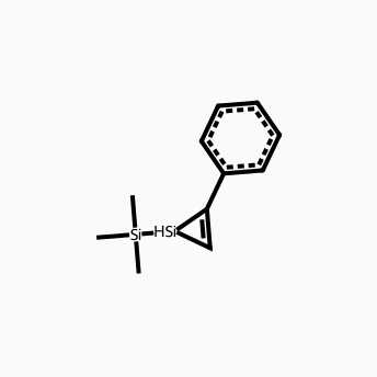 C[Si](C)(C)[SiH]1C=C1c1ccccc1